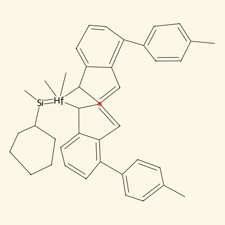 Cc1ccc(-c2cccc3c2C=C[CH]3[Hf]([CH3])([CH3])([CH]2C=Cc3c(-c4ccc(C)cc4)cccc32)=[Si](C)C2CCCCC2)cc1